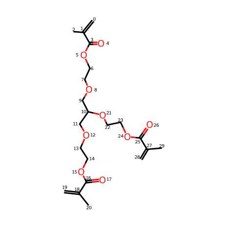 C=C(C)C(=O)OCCOCC(COCCOC(=O)C(=C)C)OCCOC(=O)C(=C)C